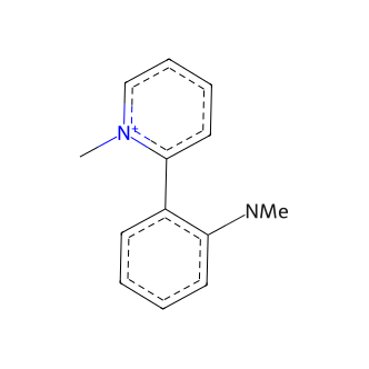 CNc1ccccc1-c1cccc[n+]1C